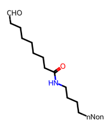 CCCCCCCCCCCCCNC(=O)CCCCCCCC=O